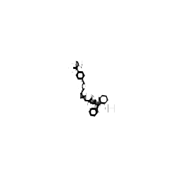 CN(C)C(=O)c1ccc(COCC[N+](C)(C)Cc2cnc([C@](O)(c3ccccc3)C3CCCCC3)o2)cc1